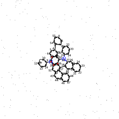 c1ccc(-c2ccc(N(c3ccccc3)c3cc(-c4cc5ccccc5cc4N(c4ccccc4)c4ccccc4)c4c(ccc5ccccc54)c3)cc2)cc1